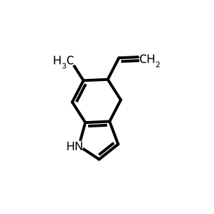 C=CC1Cc2cc[nH]c2C=C1C